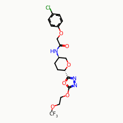 O=C(COc1ccc(Cl)cc1)N[C@@H]1CC[C@@H](c2nnc(OCCOC(F)(F)F)o2)OC1